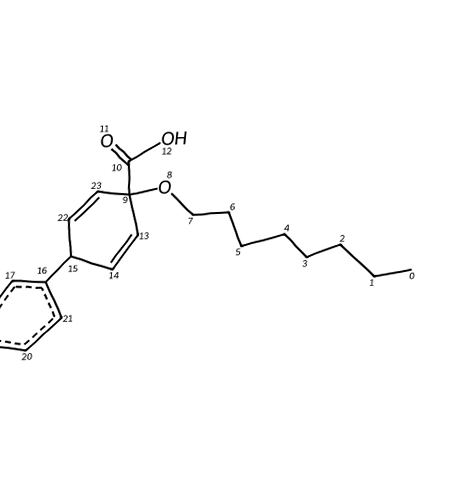 CCCCCCCCOC1(C(=O)O)C=CC(c2ccccc2)C=C1